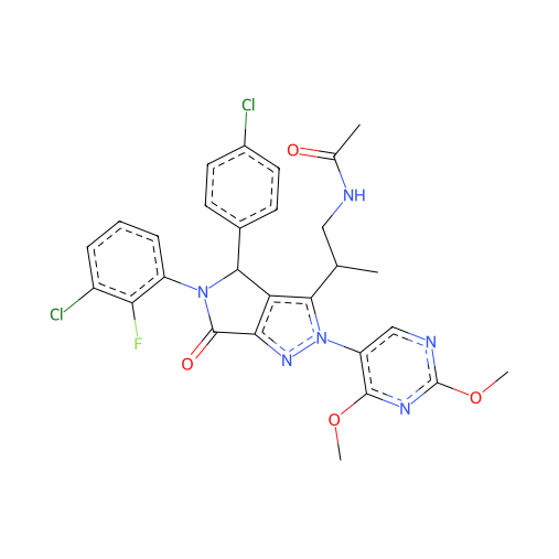 COc1ncc(-n2nc3c(c2C(C)CNC(C)=O)C(c2ccc(Cl)cc2)N(c2cccc(Cl)c2F)C3=O)c(OC)n1